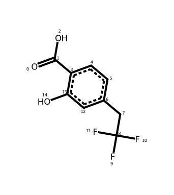 O=C(O)c1ccc(CC(F)(F)F)cc1O